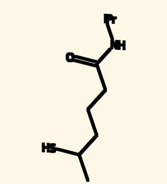 CC(S)CCCC(=O)NC(C)C